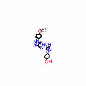 CCOc1ccc(-n2nnc3cnc(Nc4cnn(C5CCC(O)CC5)c4)nc32)cc1